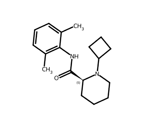 Cc1cccc(C)c1NC(=O)[C@@H]1CCCCN1C1CCC1